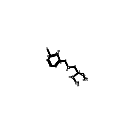 CCOC(COCc1cccc(C)n1)OCC